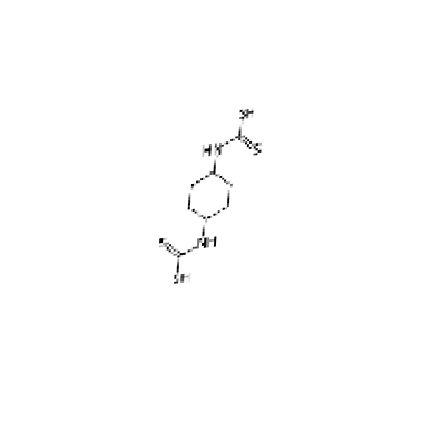 S=C(S)NC1CCC(NC(=S)S)CC1